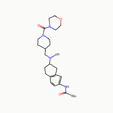 CCCN(CC1CCN(C(=O)N2CCOCC2)CC1)C1CCc2ccc(NC(=O)C(C)(C)C)cc2C1